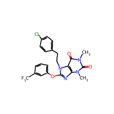 Cn1c(=O)c2c(nc(Oc3cccc(C(F)(F)F)c3)n2CCc2ccc(Cl)cc2)n(C)c1=O